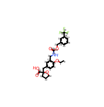 CCOc1ccc(CC2(C(=O)O)CCCO2)cc1CNC(=O)OCc1cccc(C(F)(F)F)c1